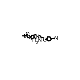 CC(C)(C)C(=O)CN1CC2CN(C[C@H](N)COc3ccc(C#N)cc3)CC2C1